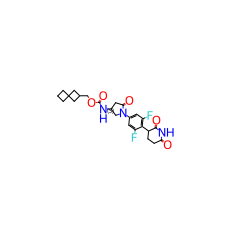 O=C1CCC(c2c(F)cc(N3C[C@@H](NC(=O)OCC4CC5(CCC5)C4)CC3=O)cc2F)C(=O)N1